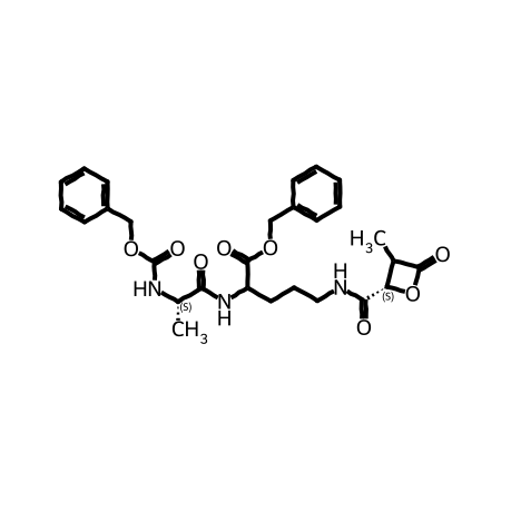 CC1C(=O)O[C@@H]1C(=O)NCCCC(NC(=O)[C@H](C)NC(=O)OCc1ccccc1)C(=O)OCc1ccccc1